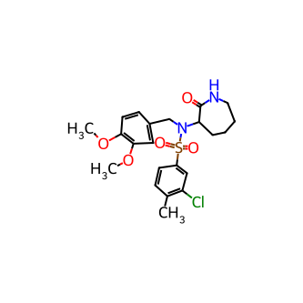 COc1ccc(CN(C2CCCCNC2=O)S(=O)(=O)c2ccc(C)c(Cl)c2)cc1OC